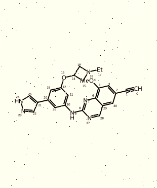 C#Cc1cc(OC)c2nc(Nc3cc(OC4CN(CC)C4)cc(-c4cn[nH]c4)c3)ncc2c1